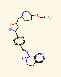 O=C(O)COC1CCN(CC2CC(c3ccc(C=NC4NCCc5ccncc54)cc3)NO2)CC1